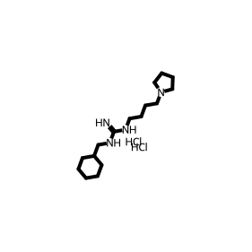 Cl.Cl.N=C(NCCCCN1CCCC1)NCC1CCCCC1